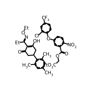 CCO/N=C(\CC)C1=C(O)CC(c2c(C)cc(C)cc2C)CC1=O.CCOC(=O)COC(=O)c1cc(Oc2ccc(C(F)(F)F)cc2Cl)ccc1[N+](=O)[O-]